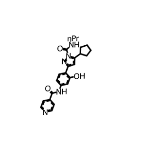 CCCNC(=O)n1nc(-c2ccc(NC(=O)c3ccncc3)cc2O)cc1C1CCCC1